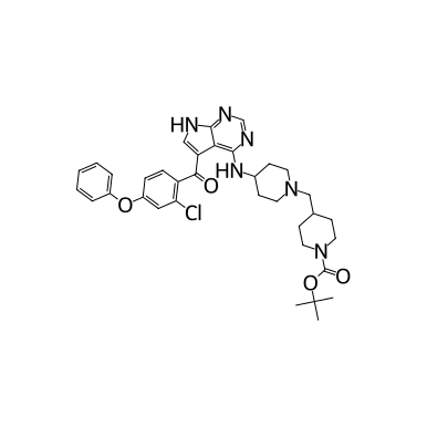 CC(C)(C)OC(=O)N1CCC(CN2CCC(Nc3ncnc4[nH]cc(C(=O)c5ccc(Oc6ccccc6)cc5Cl)c34)CC2)CC1